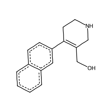 OCC1=C(c2ccc3ccccc3c2)CCNC1